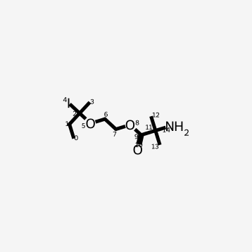 CCC(C)(I)OCCOC(=O)C(C)(C)N